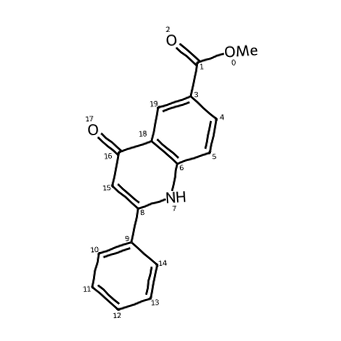 COC(=O)c1ccc2[nH]c(-c3ccccc3)cc(=O)c2c1